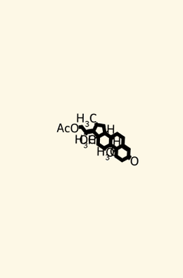 CC(=O)OCC(O)=C1C(C)C[C@H]2[C@@H]3CCC4=CC(=O)CC[C@]4(C)[C@]34OC4C[C@]12C